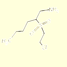 CCCCC(CN)S(=O)(=O)CCCl